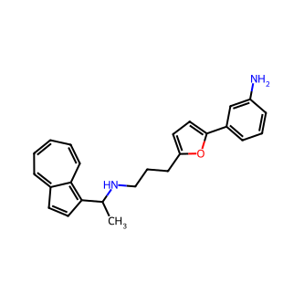 CC(NCCCc1ccc(-c2cccc(N)c2)o1)c1ccc2cccccc1-2